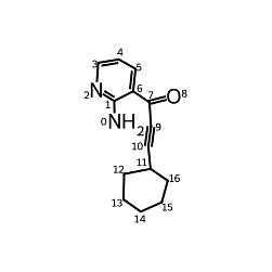 Nc1ncccc1C(=O)C#CC1CCCCC1